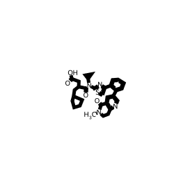 CN1CCc2ncc(-c3ccccc3-c3csc(N(C(=O)C(CC(=O)O)CC4CCCC4)C4CC4)n3)cc2C1=O